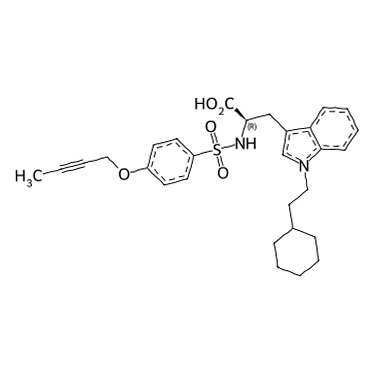 CC#CCOc1ccc(S(=O)(=O)N[C@H](Cc2cn(CCC3CCCCC3)c3ccccc23)C(=O)O)cc1